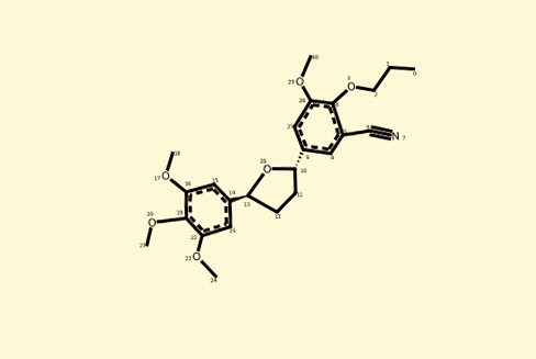 CCCOc1c(C#N)cc([C@@H]2CC[C@@H](c3cc(OC)c(OC)c(OC)c3)O2)cc1OC